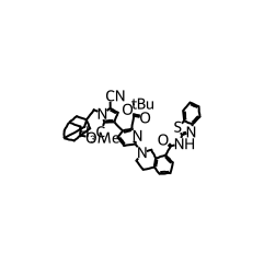 COC12CC3CC(CC(Cn4c(C#N)cc(-c5ccc(N6CCc7cccc(C(=O)Nc8nc9ccccc9s8)c7C6)nc5C(=O)OC(C)(C)C)c4C)(C3)C1)C2